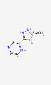 Cc1nnc(-c2cnccn2)o1